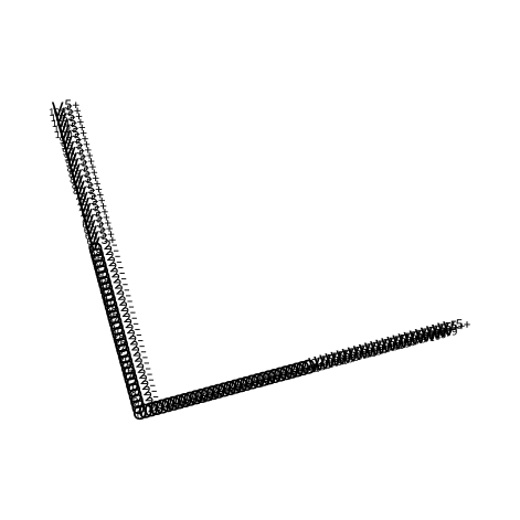 [O-2].[O-2].[O-2].[O-2].[O-2].[O-2].[O-2].[O-2].[O-2].[O-2].[O-2].[O-2].[O-2].[O-2].[O-2].[O-2].[O-2].[O-2].[O-2].[O-2].[O-2].[O-2].[O-2].[O-2].[O-2].[O-2].[O-2].[O-2].[O-2].[O-2].[O-2].[O-2].[O-2].[O-2].[O-2].[O-2].[O-2].[O-2].[O-2].[O-2].[O-2].[O-2].[O-2].[O-2].[O-2].[O-2].[O-2].[O-2].[O-2].[O-2].[O-2].[O-2].[O-2].[O-2].[O-2].[O-2].[O-2].[O-2].[O-2].[O-2].[V+5].[V+5].[V+5].[V+5].[V+5].[V+5].[V+5].[V+5].[V+5].[V+5].[V+5].[V+5].[V+5].[V+5].[V+5].[V+5].[V+5].[V+5].[V+5].[V+5].[V+5].[V+5].[V+5].[V+5].[V+5].[V+5].[V+5].[V+5].[V+5].[V+5].[V+5].[V+5].[V+5].[V+5].[V+5].[V+5].[V+5].[V+5].[V+5].[V+5].[V+5].[V+5].[V+5].[V+5].[V+5].[V+5].[V+5].[V+5].[V+5].[V+5]